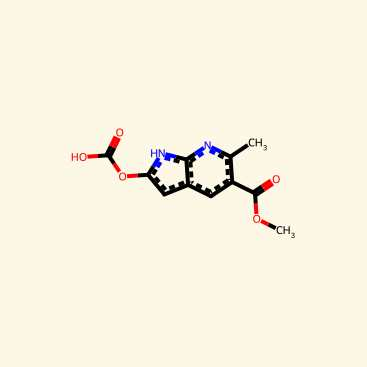 COC(=O)c1cc2cc(OC(=O)O)[nH]c2nc1C